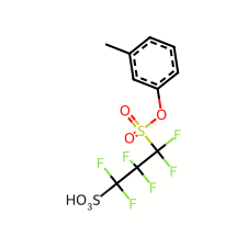 Cc1cccc(OS(=O)(=O)C(F)(F)C(F)(F)C(F)(F)S(=O)(=O)O)c1